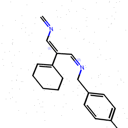 C=N/C=C(\C=N/Cc1ccc(CC)cc1)C1=CCCCC1